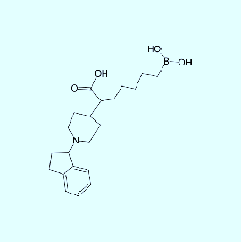 O=C(O)C(CCCCCB(O)O)C1CCN(C2CCc3ccccc32)CC1